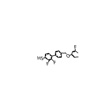 C/C=C(\C=C(/C)F)OCc1ccc(-c2ccc(S)c(F)c2F)cc1